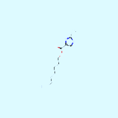 CCCCCCCCCCCCCCCCOC(=O)c1c[nH]c(C#N)n1